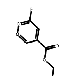 CCOC(=O)c1cnnc(F)c1